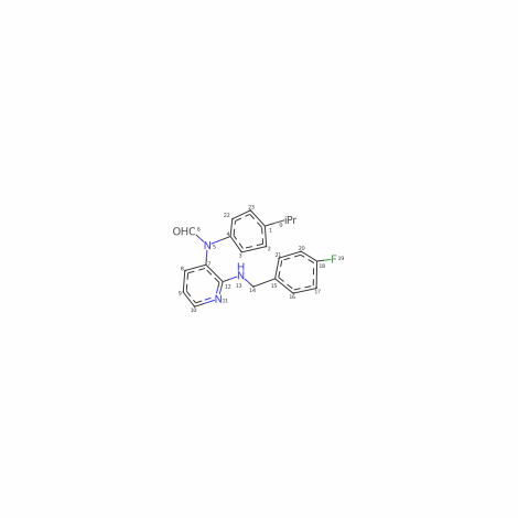 CC(C)c1ccc(N(C=O)c2cccnc2NCc2ccc(F)cc2)cc1